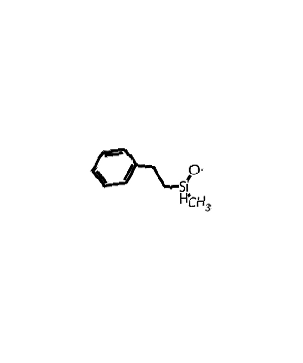 C[SiH]([O])CCc1ccccc1